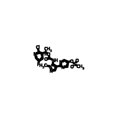 C[C@@H](OC(=O)Nc1c(-c2ncc(OS(C)(=O)=O)cn2)cnn1C)c1cc(F)cnc1Cl